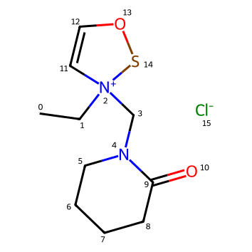 CC[N+]1(CN2CCCCC2=O)C=COS1.[Cl-]